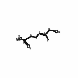 C/C(=C\CCC(=O)O)CCl